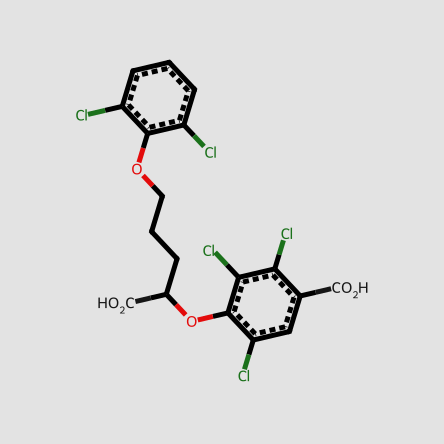 O=C(O)c1cc(Cl)c(OC(CCCOc2c(Cl)cccc2Cl)C(=O)O)c(Cl)c1Cl